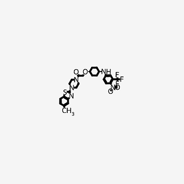 Cc1ccc2sc(N3CCN(C(=O)CO[C@H]4CC[C@H](Nc5ccc([N+](=O)[O-])c(C(F)(F)F)c5)CC4)CC3)nc2c1